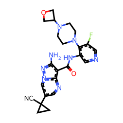 N#CC1(c2cnc3c(C(=O)Nc4cncc(F)c4N4CCN(C5COC5)CC4)c(N)nn3c2)CC1